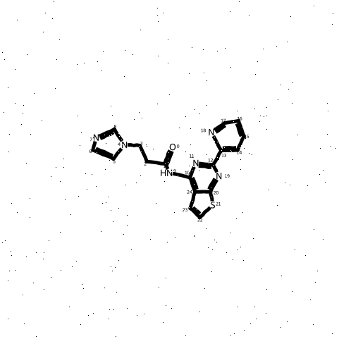 O=C(CCn1ccnc1)Nc1nc(-c2ccccn2)nc2sccc12